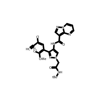 C#C/C(Cl)=C\C(=C(/C)OC)c1nn(CC(=O)NC(C)(C)C)cc1NC(=O)c1cnn2cccnc12